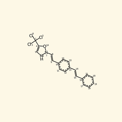 ClC(Cl)(Cl)C1=CNN(/C=C/c2ccc(/C=C/c3ccccc3)cc2)O1